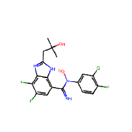 CC(C)(O)Cc1nc2c(F)c(F)cc(C(=N)N(O)c3ccc(F)c(Cl)c3)c2[nH]1